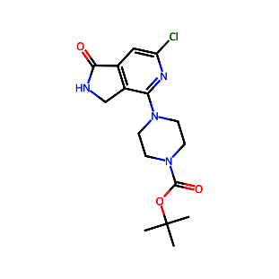 CC(C)(C)OC(=O)N1CCN(c2nc(Cl)cc3c2CNC3=O)CC1